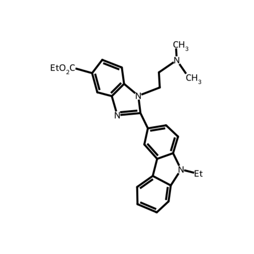 CCOC(=O)c1ccc2c(c1)nc(-c1ccc3c(c1)c1ccccc1n3CC)n2CCN(C)C